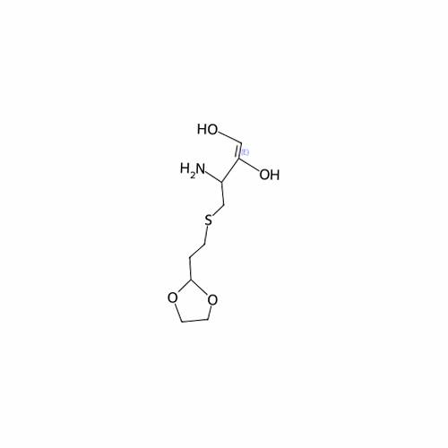 NC(CSCCC1OCCO1)/C(O)=C\O